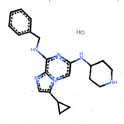 Cl.c1ccc(CNc2nc(NC3CCNCC3)cn3c(C4CC4)cnc23)cc1